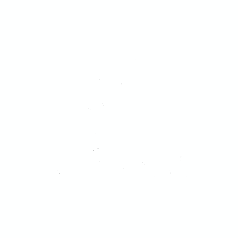 CC(C)CC(NC(=O)c1nc2ccccc2n1I)C(=O)NC(Cc1ccc[nH]c1=O)C(=O)C(=O)NCC1CC1